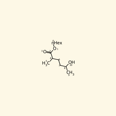 CCCCCCOC(=O)C(C)CCC(C)O